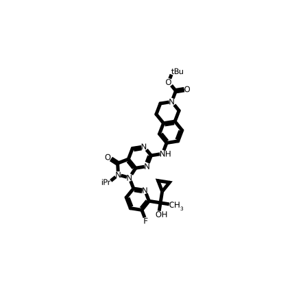 CC(C)n1c(=O)c2cnc(Nc3ccc4c(c3)CCN(C(=O)OC(C)(C)C)C4)nc2n1-c1ccc(F)c(C(C)(O)C2CC2)n1